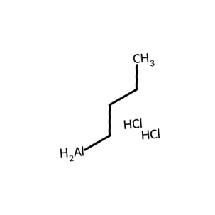 CCC[CH2][AlH2].Cl.Cl